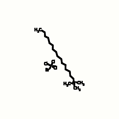 CCCCCCCCCCCCCCCC[N+](C)(C)C.[Cl][Fe-]([Cl])([Cl])[Br]